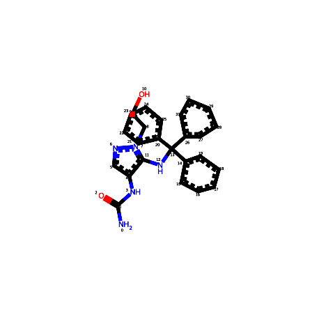 NC(=O)Nc1cnn(CCO)c1NC(c1ccccc1)(c1ccccc1)c1ccccc1